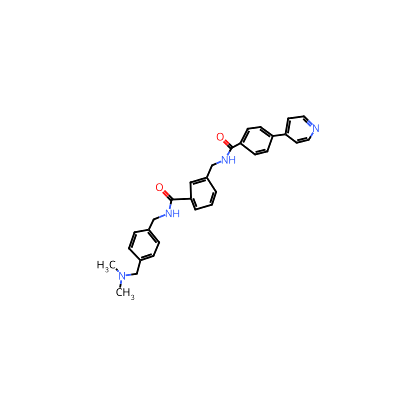 CN(C)Cc1ccc(CNC(=O)c2cccc(CNC(=O)c3ccc(-c4ccncc4)cc3)c2)cc1